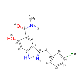 CCCN(C)C(=O)c1cc2c(Cc3cccc(F)c3)n[nH]c2cc1O